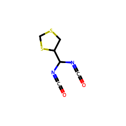 O=C=NC(N=C=O)C1CSCS1